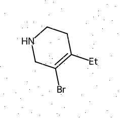 CCC1=C(Br)CNCC1